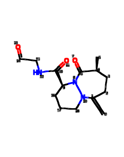 C=C1CC[C@H](C)C(=O)N2[C@H](C(=O)NCC=O)CCCN12